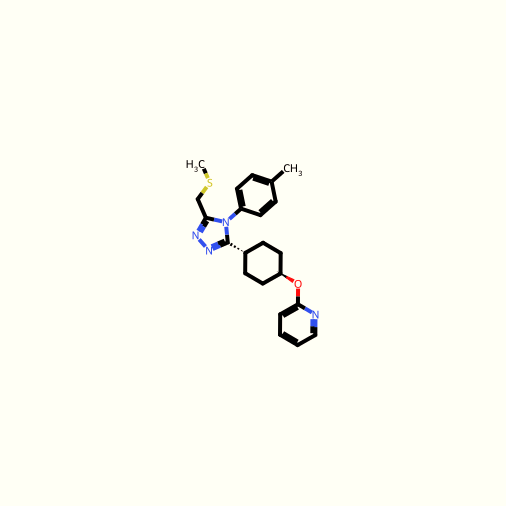 CSCc1nnc([C@H]2CC[C@H](Oc3ccccn3)CC2)n1-c1ccc(C)cc1